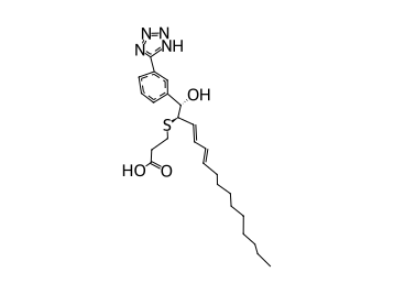 CCCCCCCCC/C=C/C=C/[C@@H](SCCC(=O)O)[C@@H](O)c1cccc(-c2nnn[nH]2)c1